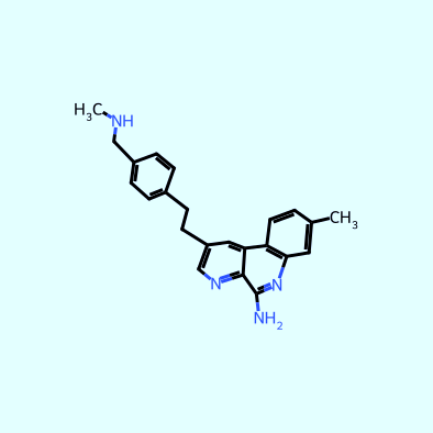 CNCc1ccc(CCc2cnc3c(N)nc4cc(C)ccc4c3c2)cc1